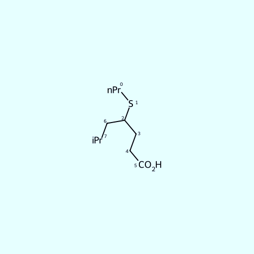 CCCSC(CCC(=O)O)CC(C)C